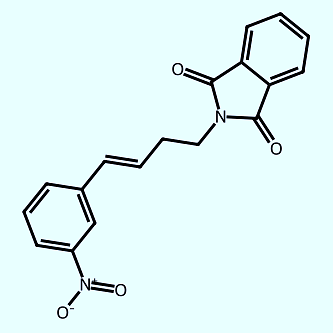 O=C1c2ccccc2C(=O)N1CC/C=C/c1cccc([N+](=O)[O-])c1